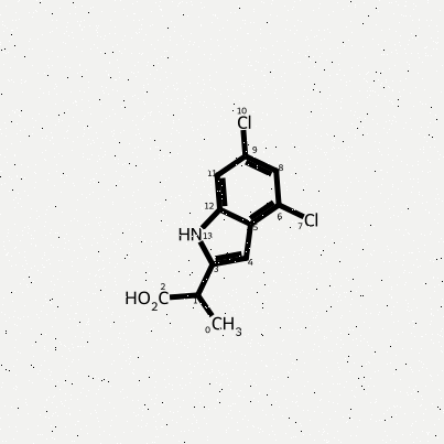 CC(C(=O)O)c1cc2c(Cl)cc(Cl)cc2[nH]1